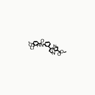 CCOC(=O)c1cnn2c(-c3cccc(NC(=O)c4ccc(OC)c(Cl)c4)c3)ccnc12